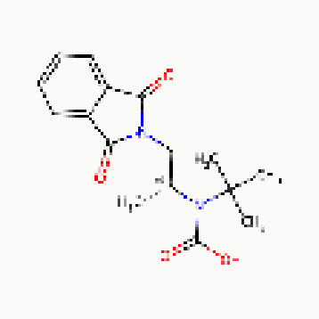 C[C@H](CN1C(=O)c2ccccc2C1=O)N(C(=O)O)C(C)(C)C